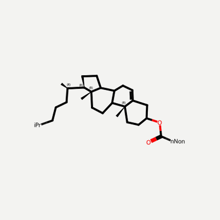 CCCCCCCCCC(=O)OC1CC[C@@]2(C)C(=CCC3C2CC[C@@]2(C)C3CC[C@@H]2[C@H](C)CCCC(C)C)C1